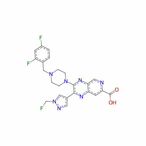 O=C(O)c1cc2nc(-c3cnn(CF)c3)c(N3CCN(Cc4ccc(F)cc4F)CC3)nc2cn1